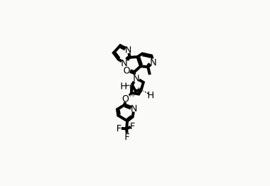 Cc1nccc(-c2ncccn2)c1C(=O)N1C[C@H]2C[C@@H](Oc3ccc(C(F)(F)F)cn3)[C@@H]1C2